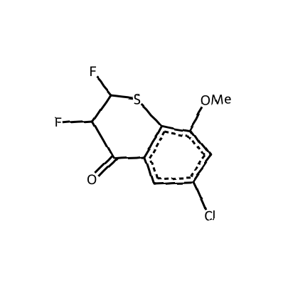 COc1cc(Cl)cc2c1SC(F)C(F)C2=O